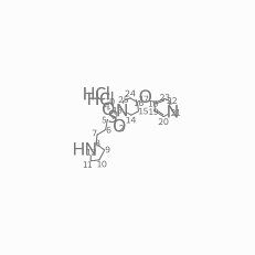 Cl.Cl.O=S(=O)(CCCC1CCCN1)N1CCC(Oc2ccncc2)CC1